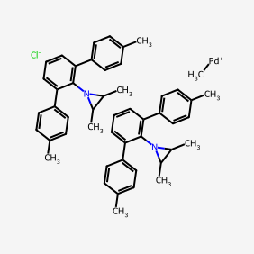 Cc1ccc(-c2cccc(-c3ccc(C)cc3)c2N2C(C)C2C)cc1.Cc1ccc(-c2cccc(-c3ccc(C)cc3)c2N2C(C)C2C)cc1.[CH3][Pd+].[Cl-]